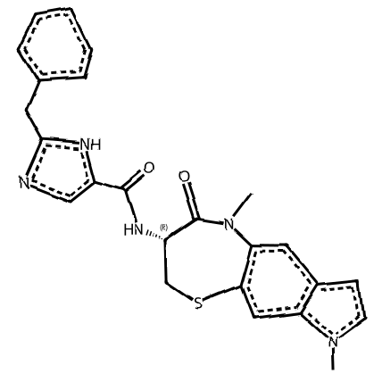 CN1C(=O)[C@@H](NC(=O)c2cnc(Cc3ccccc3)[nH]2)CSc2cc3c(ccn3C)cc21